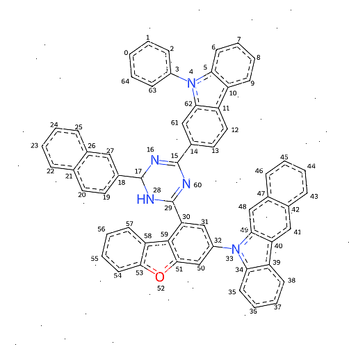 c1ccc(-n2c3ccccc3c3ccc(C4=NC(c5ccc6ccccc6c5)NC(c5cc(-n6c7ccccc7c7cc8ccccc8cc76)cc6oc7ccccc7c56)=N4)cc32)cc1